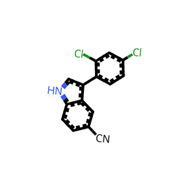 N#Cc1ccc2[nH]cc(-c3ccc(Cl)cc3Cl)c2c1